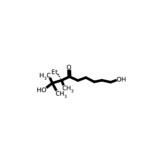 CC[C@@](C)(C(=O)CCCCCO)C(C)(C)O